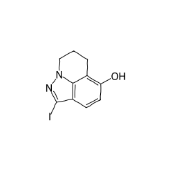 Oc1ccc2c(I)nn3c2c1CCC3